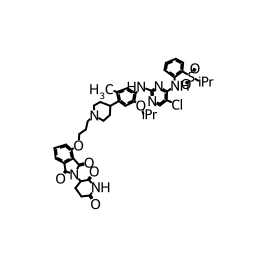 Cc1cc(Nc2ncc(Cl)c(Nc3ccccc3S(=O)(=O)C(C)C)n2)c(OC(C)C)cc1C1CCN(CCCOc2cccc3c2C(=O)N(C2CCC(=O)NC2=O)C3=O)CC1